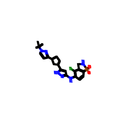 CC(C)(C)n1ccc(C2CCC(c3cc(Nc4ccc5c(c4F)CNS5(=O)=O)n[nH]3)C2)n1